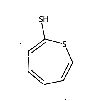 SC1=CC=CC=CS1